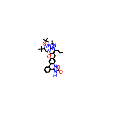 CCCc1c(Cc2ccc(-c3ccccc3-c3noc(=O)[nH]3)cc2)c(=O)n(CC(=NOC(C)(C)C)C(C)(C)C)c2nc(C)nn12